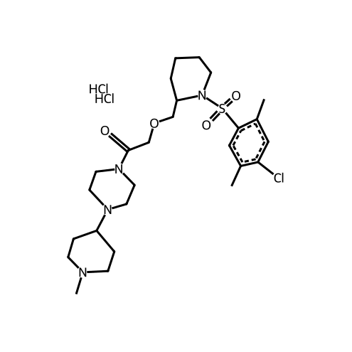 Cc1cc(S(=O)(=O)N2CCCCC2COCC(=O)N2CCN(C3CCN(C)CC3)CC2)c(C)cc1Cl.Cl.Cl